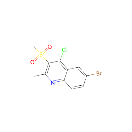 Cc1nc2ccc(Br)cc2c(Cl)c1S(C)(=O)=O